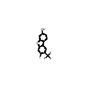 Oc1ccc2c(c1)sc1cc(I)c(C(F)(F)F)cc12